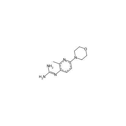 Cc1nc(N2CCOCC2)ccc1N=C(N)N